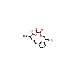 C=CCOC(=O)C=C.CC(=CC=Cc1ccccc1)C(=O)O